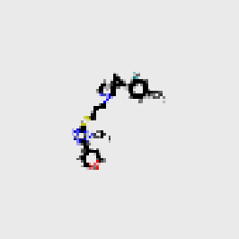 Cn1c(SCCCN2CC[C@@]3(C[C@@H]3c3ccc(C(F)(F)F)cc3F)C2)nnc1C1CCOCC1